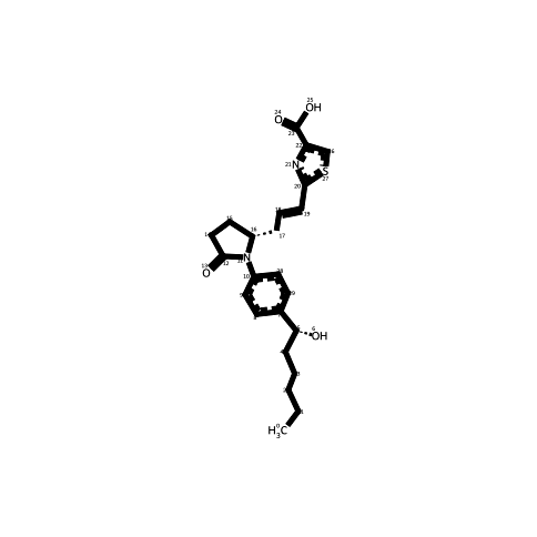 CCCCC[C@@H](O)c1ccc(N2C(=O)CC[C@@H]2C/C=C/c2nc(C(=O)O)cs2)cc1